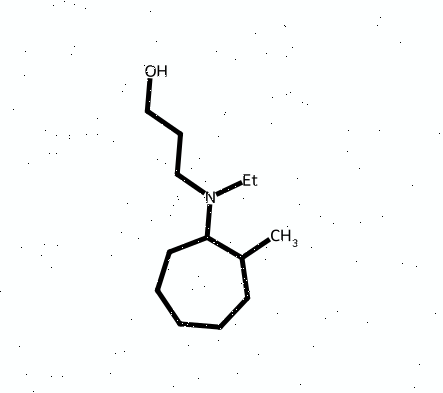 CCN(CCCO)C1CCCCCC1C